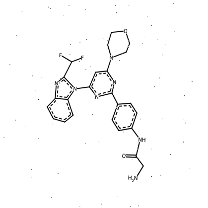 NCC(=O)Nc1ccc(-c2nc(N3CCOCC3)cc(-n3c(C(F)F)nc4ccccc43)n2)cc1